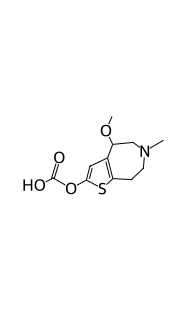 COC1CN(C)CCc2sc(OC(=O)O)cc21